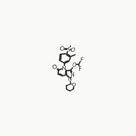 Cc1cc(-n2c(=O)ccc3c2c(OC(F)F)nn3C2CCCCO2)ccc1S(C)(=O)=O